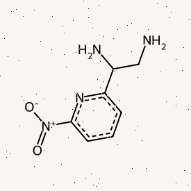 NCC(N)c1cccc([N+](=O)[O-])n1